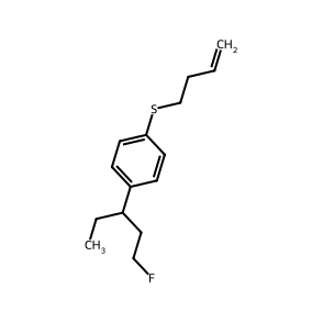 C=CCCSc1ccc(C(CC)CCF)cc1